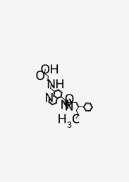 CCC/C(=C\c1nnc(-c2ccc(CNCCC(=O)O)c3ncccc23)o1)c1ccccc1